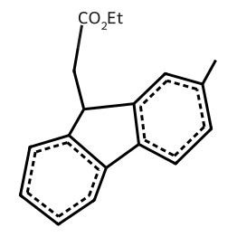 CCOC(=O)CC1c2ccccc2-c2ccc(C)cc21